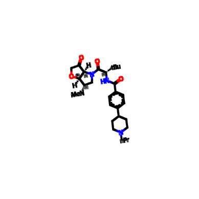 CCCN1CCC(c2ccc(C(=O)N[C@H](C(=O)N3C[C@H](NC)[C@H]4OCC(=O)[C@H]43)C(C)(C)C)cc2)CC1